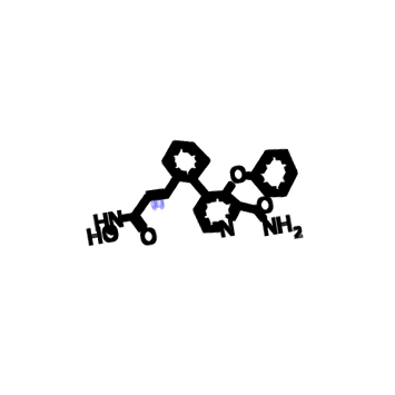 NC(=O)c1nccc(-c2ccccc2/C=C/C(=O)NO)c1Oc1ccccc1